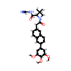 COc1cc(-c2ccc3cc(CC(=O)N4CC(C)(C)C4C(=O)NC#N)ccc3c2)cc(OC)c1OC